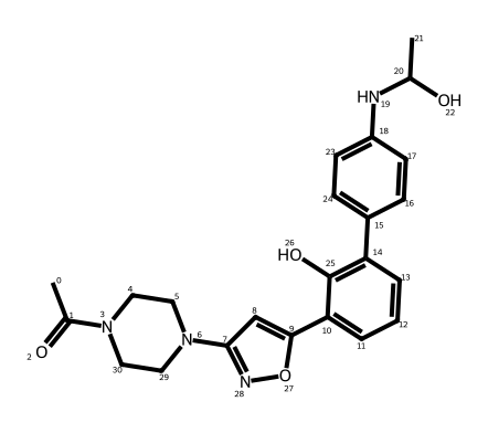 CC(=O)N1CCN(c2cc(-c3cccc(-c4ccc(NC(C)O)cc4)c3O)on2)CC1